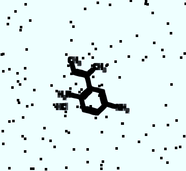 CC=C(C)c1cc(N)ccc1N.Cl